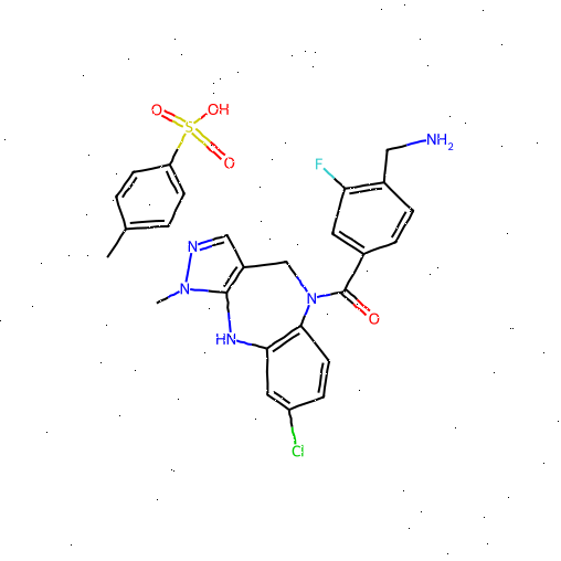 Cc1ccc(S(=O)(=O)O)cc1.Cn1ncc2c1Nc1cc(Cl)ccc1N(C(=O)c1ccc(CN)c(F)c1)C2